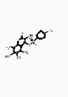 Cc1ccc(S(=O)(=O)Oc2c(C)c(=O)oc3c(C)c(C)c(C)c(C)c23)cc1